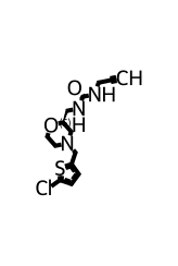 C#CCNC(=O)NC[C@H]1CN(Cc2ccc(Cl)s2)CCO1